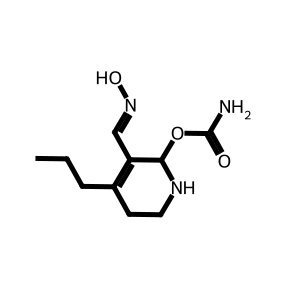 CCCC1=C(C=NO)C(OC(N)=O)NCC1